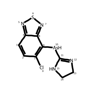 Clc1ccc2nsnc2c1[AsH]C1=NCCN1